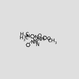 COc1ccc(C(=O)Nc2nc3ccc(N(C)C)cc3c(NCc3ccccc3)c2C#N)cc1